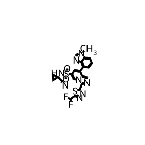 Cn1cnc2c(-c3cc(S(=O)(=O)NC4(C#N)CC4)cn4c(-c5nnc(C(F)F)s5)ncc34)cccc21